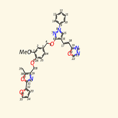 COc1cc(COc2nn(-c3ccccc3)cc2C=Cc2nnco2)ccc1OCc1nc(-c2ccco2)oc1C